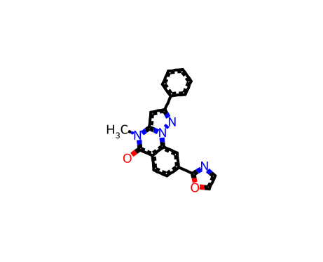 Cn1c(=O)c2ccc(-c3ncco3)cc2n2nc(-c3ccccc3)cc12